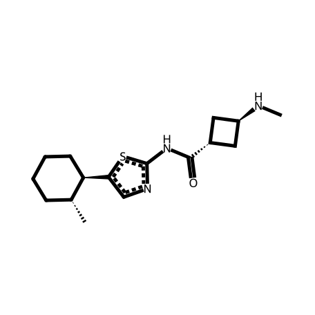 CN[C@H]1C[C@H](C(=O)Nc2ncc([C@@H]3CCCC[C@H]3C)s2)C1